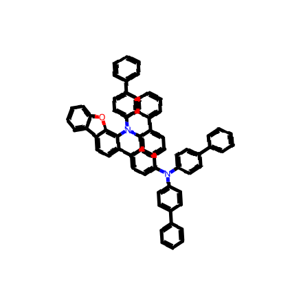 c1ccc(-c2ccc(N(c3ccc(-c4ccccc4)cc3)c3ccc(-c4ccc5c(oc6ccccc65)c4N(c4ccc(-c5ccccc5)cc4)c4ccccc4-c4ccccc4)cc3)cc2)cc1